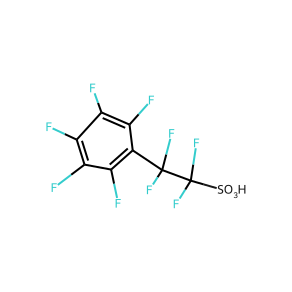 O=S(=O)(O)C(F)(F)C(F)(F)c1c(F)c(F)c(F)c(F)c1F